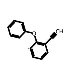 C#Cc1ccc[c]c1Oc1ccccc1